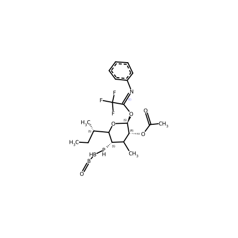 CC[C@H](C)C1O[C@@H](O/C(=N/c2ccccc2)C(F)(F)F)[C@H](OC(C)=O)C(C)[C@@H]1PBB=O